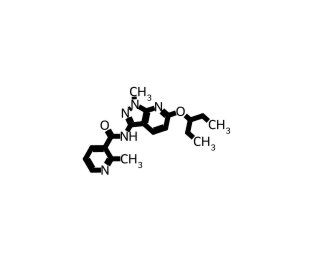 CCC(CC)Oc1ccc2c(NC(=O)c3cccnc3C)nn(C)c2n1